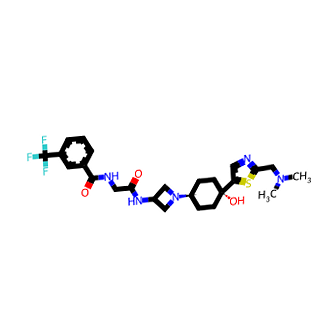 CN(C)Cc1ncc([C@]2(O)CC[C@H](N3CC(NC(=O)CNC(=O)c4cccc(C(F)(F)F)c4)C3)CC2)s1